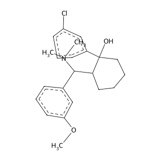 COc1cccc(C(C2CCCCC2(O)c2cccc(Cl)c2)N(C)C)c1